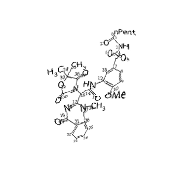 CCCCCC(=O)NS(=O)(=O)c1ccc(OC)c(NC(=O)C(c2nc(=O)c3ccccc3n2C)N2C(=O)OC(C)(C)C2=O)c1